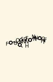 Cc1ccc(COCc2ccc(F)cc2)c(N2C(=O)CS/C2=N\C(=O)Nc2ccc(-c3ncn(-c4ccc(OC(F)(F)F)cc4)n3)cc2F)c1